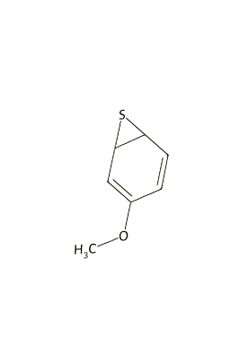 COC1=CC2SC2C=C1